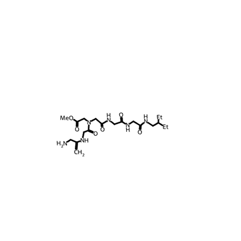 C=C(CN)NCC(=O)N(CC(=O)NCC(=O)NCC(=O)NCC(CC)CC)CC(=O)OC